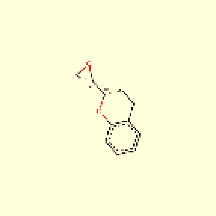 c1ccc2c(c1)CC[C@@H]([C@@H]1CO1)O2